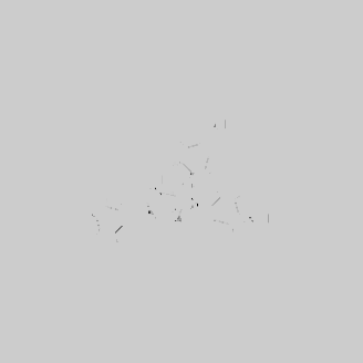 COc1ccc([C@@H]2[C@H](NC(=O)Cc3ccccc3)C(=O)N2c2ccc(C)cc2)cc1